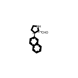 O=C[C@H]1NCC[C@@H]1c1ccc2ccccc2c1